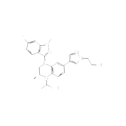 CC(O)N1c2ccc(-c3cnn(CCO)c3)cc2N(c2nn(C)c3cc(F)ccc23)C[C@@H]1C